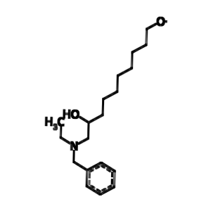 CCN(Cc1ccccc1)CC(O)CCCCCCCC[O]